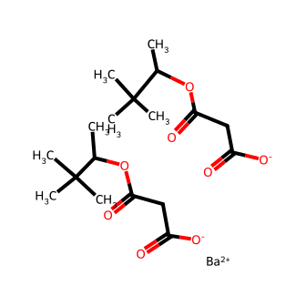 CC(OC(=O)CC(=O)[O-])C(C)(C)C.CC(OC(=O)CC(=O)[O-])C(C)(C)C.[Ba+2]